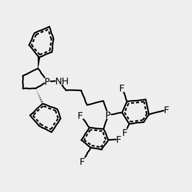 Fc1cc(F)c(P(CCCCNP2[C@H](c3ccccc3)CC[C@H]2c2ccccc2)c2c(F)cc(F)cc2F)c(F)c1